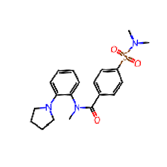 CN(C(=O)c1ccc(S(=O)(=O)N(C)C)cc1)c1ccccc1N1CCCC1